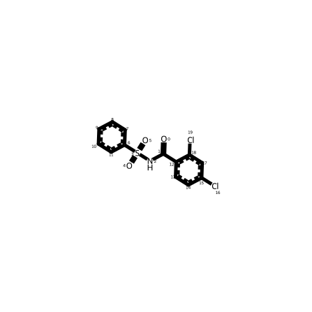 O=C(NS(=O)(=O)c1ccccc1)c1ccc(Cl)cc1Cl